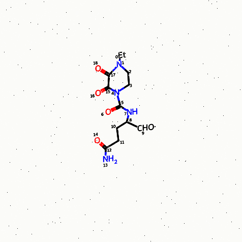 CCN1CCN(C(=O)NC([C]=O)CCC(N)=O)C(=O)C1=O